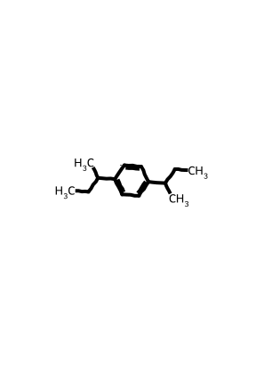 CCC(C)c1[c]cc(C(C)CC)cc1